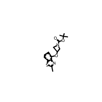 Cc1nc2c(OC3CN(C(=O)OC(C)(C)C)C3)cccc2s1